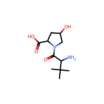 CC(C)(C)C(N)C(=O)N1CC(O)CC1C(=O)O